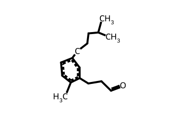 Cc1ccc(CCCC(C)C)cc1CCC=O